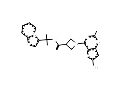 Cc1cc2nc(Cl)nc(N3CC(C(=O)NC(C)(C)c4cnc5ccccn45)C3)c2s1